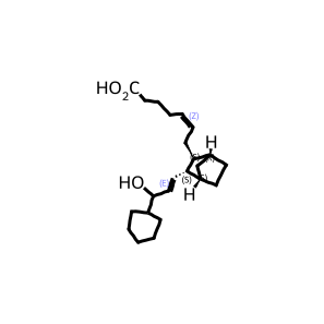 O=C(O)CCC/C=C\C[C@H]1[C@@H]2CC[C@@H](C2)[C@@H]1/C=C/C(O)C1CCCCC1